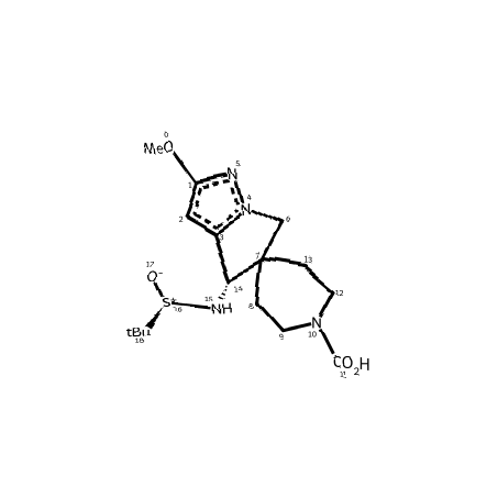 COc1cc2n(n1)CC1(CCN(C(=O)O)CC1)[C@@H]2N[S@+]([O-])C(C)(C)C